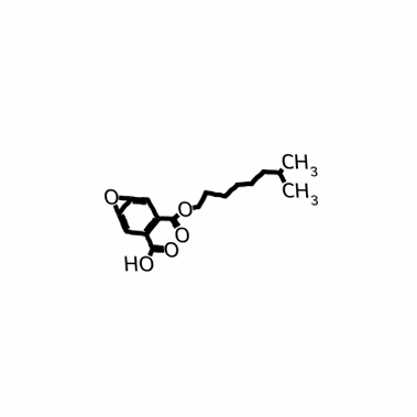 CC(C)CCCCCCOC(=O)c1cc2c(cc1C(=O)O)O2